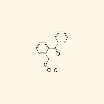 O=COCc1ccccc1C(=O)c1ccccc1